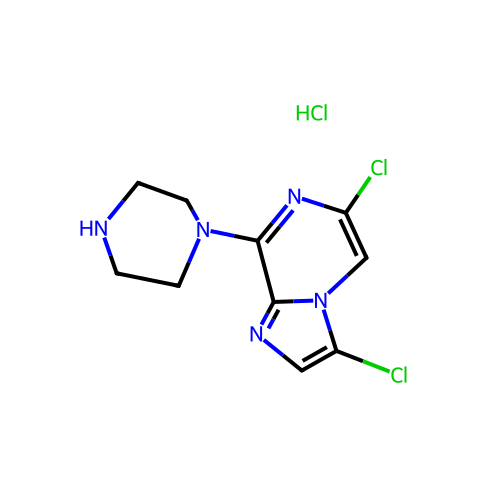 Cl.Clc1cn2c(Cl)cnc2c(N2CCNCC2)n1